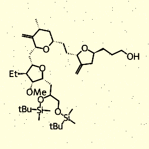 C=C1C[C@H](CCCO)O[C@H]1CC[C@H]1C[C@@H](C)C(=C)[C@@H](C[C@@H]2O[C@H](CC(CO[Si](C)(C)C(C)(C)C)O[Si](C)(C)C(C)(C)C)[C@H](OC)[C@H]2CC)O1